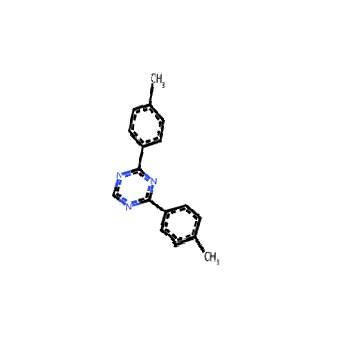 Cc1ccc(-c2ncnc(-c3ccc(C)cc3)n2)cc1